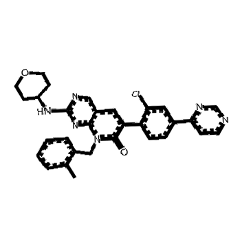 Cc1ccccc1Cn1c(=O)c(-c2ccc(-c3ccncn3)cc2Cl)cc2cnc(NC3CCOCC3)nc21